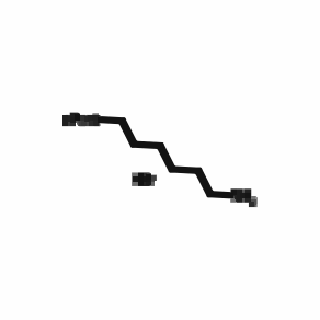 Br.CCCCCCCCCCCN